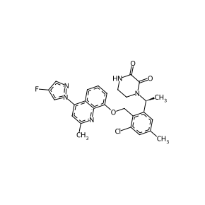 Cc1cc(Cl)c(COc2cccc3c(-n4cc(F)cn4)cc(C)nc23)c([C@H](C)N2CCNC(=O)C2=O)c1